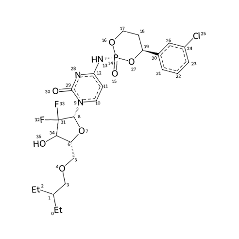 CCC(CC)COC[C@H]1O[C@@H](n2ccc(N[P@]3(=O)OCC[C@@H](c4cccc(Cl)c4)O3)nc2=O)C(F)(F)C1O